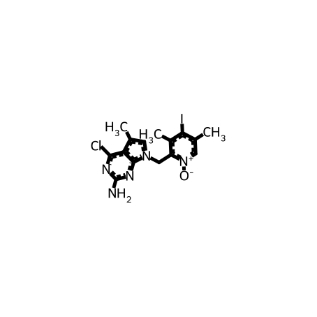 Cc1c[n+]([O-])c(Cn2cc(C)c3c(Cl)nc(N)nc32)c(C)c1I